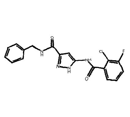 O=C(NCc1ccccc1)c1cc(NC(=O)c2cccc(F)c2Cl)[nH]n1